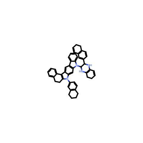 C1=CC2=C(CC1)NC(n1c3ccccc3c3cc4c5c(n(-c6ccc7c(c6)CCCC7)c4cc31)CCc1ccccc1-5)C(c1ccc3c(c1)C=CCC3)N2